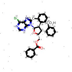 O=C(OC[C@@H]1O[C@@H](n2cnc3c(Br)ncnc32)[C@@H](c2ccccc2C(=O)O)[C@@H]1c1ccccc1C(=O)O)c1ccccc1